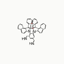 N=Cc1cc(C=N)c(-n2c3ccc4ccccc4c3c3c4ccccc4ccc32)c(-n2c3ccc4ccccc4c3c3c4ccccc4ccc32)c1